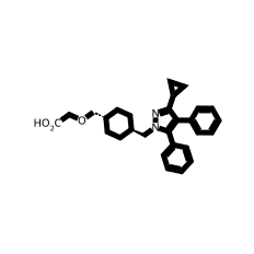 O=C(O)COC[C@H]1CC[C@H](Cn2nc(C3CC3)c(-c3ccccc3)c2-c2ccccc2)CC1